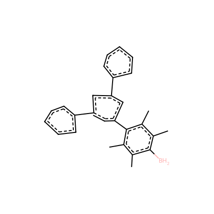 Bc1c(C)c(C)c(-c2cc(-c3ccccc3)cc(-c3ccccc3)c2)c(C)c1C